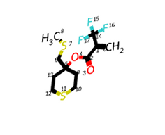 C=C(C(=O)OC1(CSC)CCSCC1)C(F)(F)F